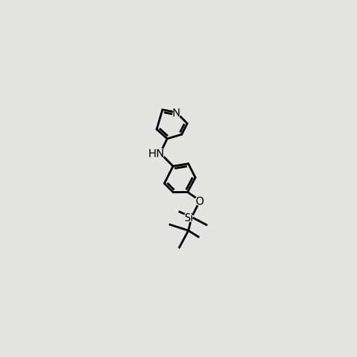 CC(C)(C)[Si](C)(C)Oc1ccc(Nc2ccncc2)cc1